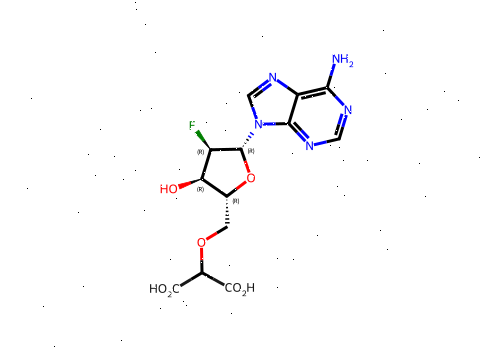 Nc1ncnc2c1ncn2[C@@H]1O[C@H](COC(C(=O)O)C(=O)O)[C@@H](O)[C@H]1F